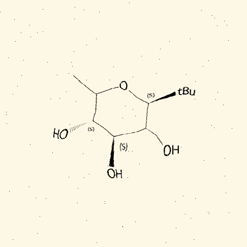 CC1O[C@@H](C(C)(C)C)C(O)[C@@H](O)[C@@H]1O